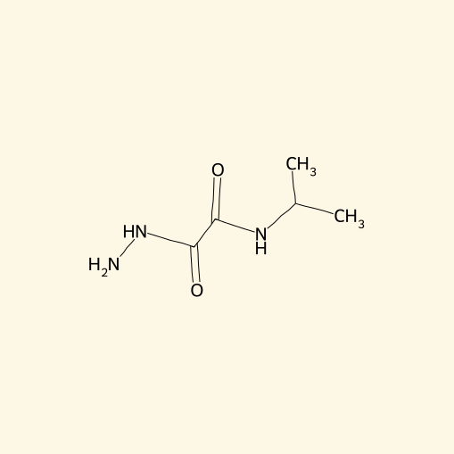 CC(C)NC(=O)C(=O)NN